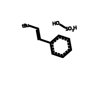 CC(C)(C)C=Cc1ccccc1.O=S(=O)(O)O